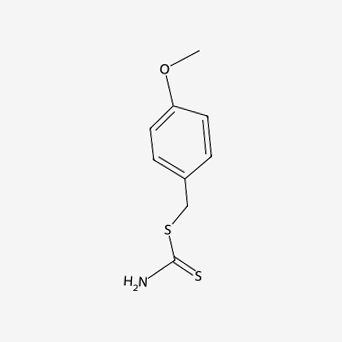 COc1ccc(CSC(N)=S)cc1